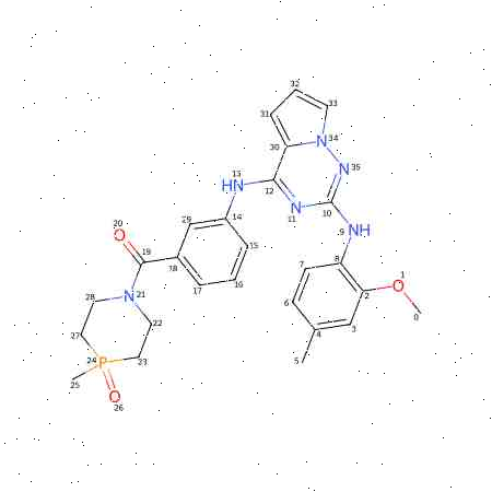 COc1cc(C)ccc1Nc1nc(Nc2cccc(C(=O)N3CCP(C)(=O)CC3)c2)c2cccn2n1